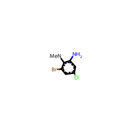 CNc1c(N)cc(Cl)cc1Br